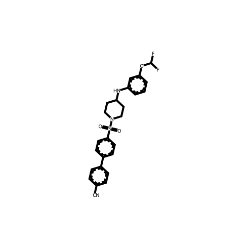 N#Cc1ccc(-c2ccc(S(=O)(=O)N3CCC(Nc4cccc(OC(F)F)c4)CC3)cc2)cc1